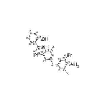 Cc1cc(Cc2cc(C)c(NC(C)c3ccccc3O)c(C(C)C)c2)cc(C(C)C)c1N